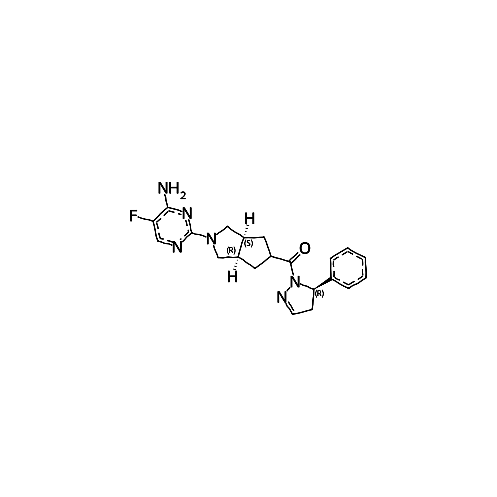 Nc1nc(N2C[C@H]3CC(C(=O)N4N=CC[C@@H]4c4ccccc4)C[C@H]3C2)ncc1F